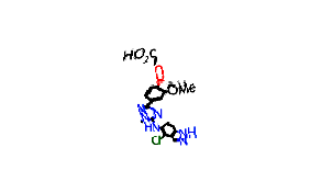 COc1cc(-c2nc(Nc3ccc4[nH]ncc4c3Cl)n(C)n2)ccc1OCCC(=O)O